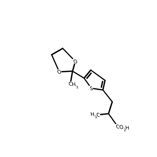 CC(Cc1ccc(C2(C)OCCO2)s1)C(=O)O